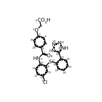 O=C(O)COc1ccc(C(=O)Nc2ccc(Cl)cc2Sc2ccccc2-c2nnn[nH]2)cc1